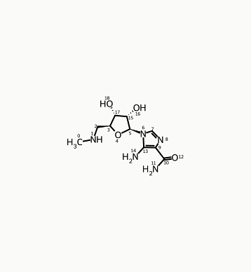 CNC[C@@H]1O[C@H](n2cnc(C(N)=O)c2N)[C@@H](O)[C@H]1O